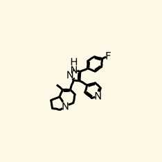 CC1=C(c2n[nH]c(-c3ccc(F)cc3)c2-c2ccncc2)CCN2CCCC12